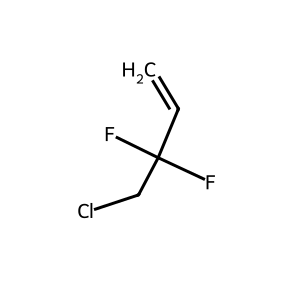 C=CC(F)(F)CCl